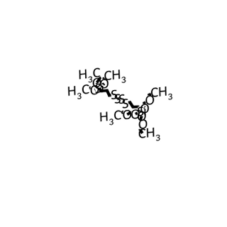 CCOCO[Si](CCCSSSSCCC[Si](OCC)(OCC)OCC)(OCOCC)OCOCC